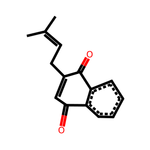 CC(C)=CCC1=CC(=O)c2ccccc2C1=O